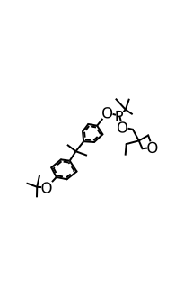 CCC1(COP(Oc2ccc(C(C)(C)c3ccc(OC(C)(C)C)cc3)cc2)C(C)(C)C)COC1